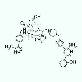 Cc1ncsc1-c1ccc(CNC(=O)[C@@H]2C[C@@H](O)CN2C(=O)C(NC(=O)CN2CCC(Cn3cc(-c4cc(-c5ccccc5O)nnc4N)cn3)CC2)C(C)(C)C)cc1